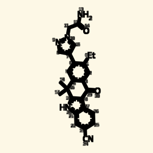 CCc1cc2c(cc1-c1cnn(CC(N)=O)c1)C(C)(C)c1[nH]c3cc(C#N)ccc3c1C2=O